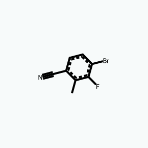 Cc1c(C#N)ccc(Br)c1F